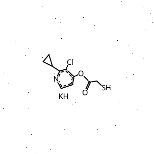 O=C(CS)Oc1ccnc(C2CC2)c1Cl.[KH]